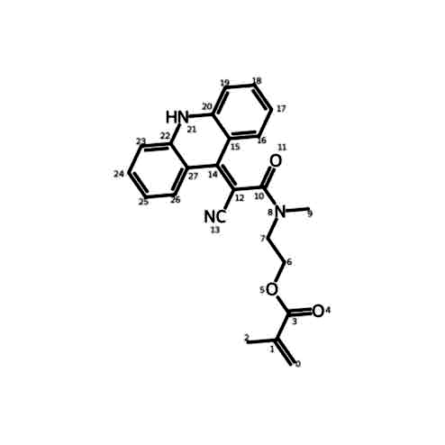 C=C(C)C(=O)OCCN(C)C(=O)C(C#N)=C1c2ccccc2Nc2ccccc21